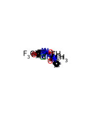 Cc1c(C(=O)Nc2c(C)n(C)n(C3CCCCC3)c2=O)nnn1-c1ccc(OC(F)(F)F)cc1Cl